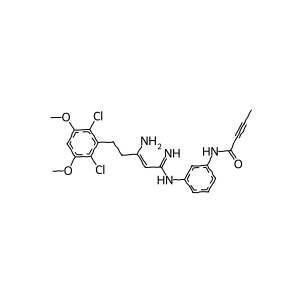 CC#CC(=O)Nc1cccc(NC(=N)/C=C(\N)CCc2c(Cl)c(OC)cc(OC)c2Cl)c1